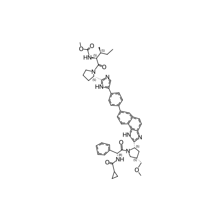 CC[C@H](C)[C@H](NC(=O)OC)C(=O)N1CCC[C@H]1c1ncc(-c2ccc(-c3ccc4c(ccc5nc([C@@H]6C[C@H](COC)CN6C(=O)[C@H](NC(=O)C6CC6)c6ccccc6)[nH]c54)c3)cc2)[nH]1